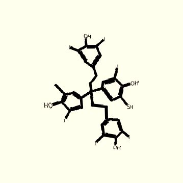 Cc1cc(C(CCc2cc(I)c(O)c(I)c2)(CCc2cc(I)c(O)c(I)c2)c2cc(S)c(O)c(I)c2)cc(I)c1O